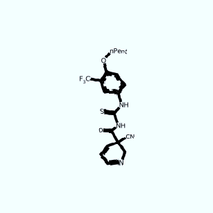 CCCCCOc1ccc(NC(=S)NC(=O)C2(C#N)C=CC=NC2)cc1C(F)(F)F